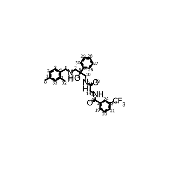 Cc1ccc(CNCC(O)(CNC(=O)CNC(=O)c2cccc(C(F)(F)F)c2)c2ccccc2)c(C)c1